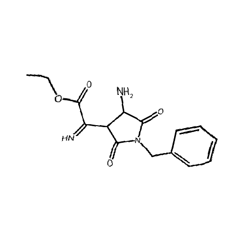 CCOC(=O)C(=N)C1C(=O)N(Cc2ccccc2)C(=O)C1N